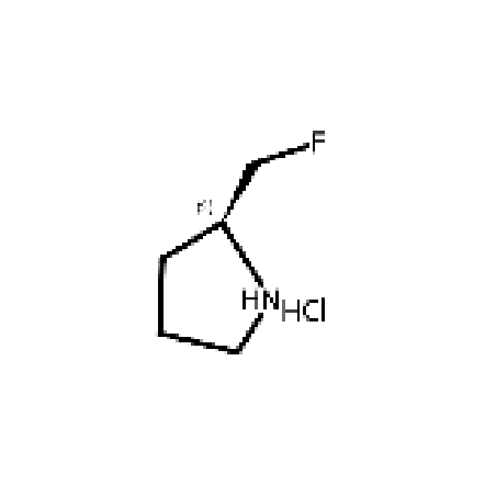 Cl.FC[C@@H]1CCCN1